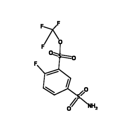 NS(=O)(=O)c1ccc(F)c(S(=O)(=O)OC(F)(F)F)c1